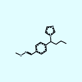 CCCC(c1ccc(/C=N/OC)cc1)n1ccnc1